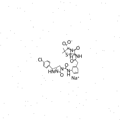 CC1(C)S[C@@H]2[C@H](NC(=O)CC3=CC(NC(=O)N4CC5C(c6ccc(Cl)cc6)NN5C4=O)C=CC3)C(=O)N2[C@H]1C(=O)[O-].[Na+]